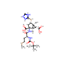 CSCC[C@H](NC(=O)OC(C)(C)C)C(=O)N[C@@]1(C(=O)O)C[C@H](Sc2nnc[nH]2)[C@H]2[C@H](C(=O)O)[C@H]21